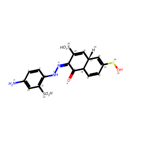 Nc1ccc(N/N=C2\C(=O)C3C=CC(SO)=C[C@H]3C=C2S(=O)(=O)O)c(S(=O)(=O)O)c1